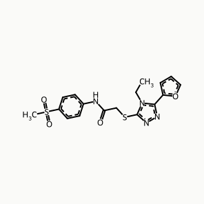 CCn1c(SCC(=O)Nc2ccc(S(C)(=O)=O)cc2)nnc1-c1ccco1